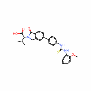 COc1ccccc1NC(=S)Nc1ccc(-c2ccc3c(c2)CN(C(C(=O)O)C(C)C)C3=O)cc1